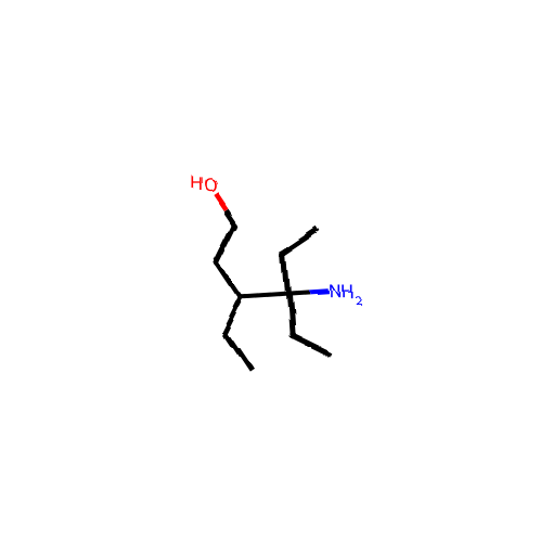 CCC(CCO)C(N)(CC)CC